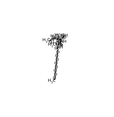 CCOCCOCCOCCOCCOCCOCCOCCOCCC(=O)N[C@@H](CC(C)C)C(=O)N1CCC[C@@H]1C(=O)N[C@@H](CCC(=O)O)C(=O)N[C@H](C(=O)NCC(=O)NCC(C)=O)[C@@H](C)O